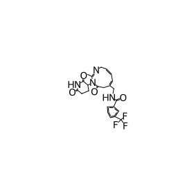 C/C1=N/C/C=C\C=C(\CNC(=O)c2cccc(C(F)(F)F)c2)CC(=O)N1C1CCC(=O)NC1=O